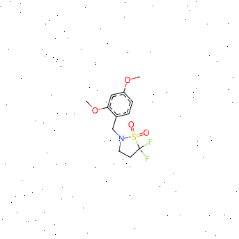 COc1ccc(CN2CCC(F)(F)S2(=O)=O)c(OC)c1